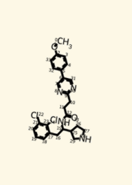 COc1ccc(-c2cnc(CCC(=O)NC(Cc3cccc(Cl)c3Cl)C3CCNC3)nc2)cc1